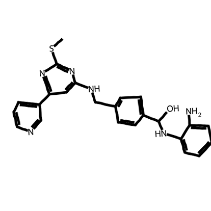 CSc1nc(NCc2ccc(C(O)Nc3ccccc3N)cc2)cc(-c2cccnc2)n1